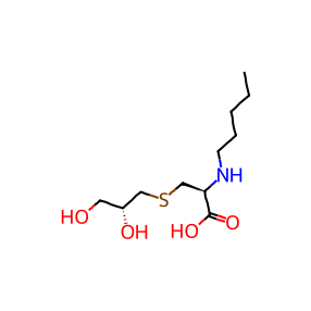 CCCCCN[C@H](CSC[C@H](O)CO)C(=O)O